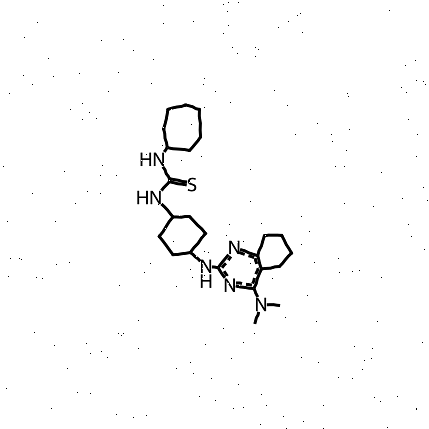 CN(C)c1nc(NC2CCC(NC(=S)NC3CCCCCC3)CC2)nc2c1CCCC2